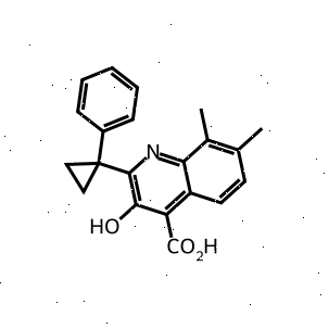 Cc1ccc2c(C(=O)O)c(O)c(C3(c4ccccc4)CC3)nc2c1C